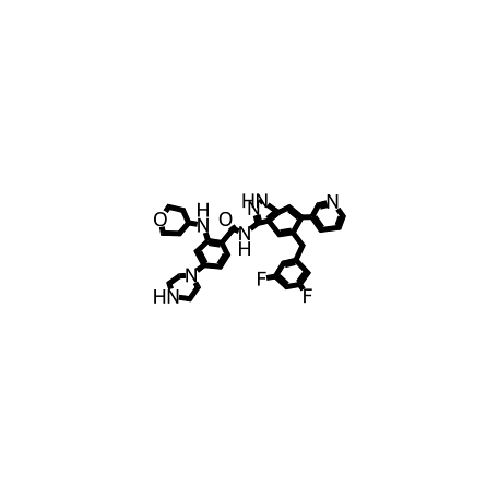 O=C(Nc1n[nH]c2cc(-c3cccnc3)c(Cc3cc(F)cc(F)c3)cc12)c1ccc(N2CCNCC2)cc1NC1CCOCC1